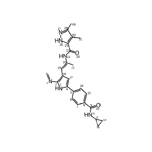 C=Nc1[nH]c(-c2ccc(C(=O)NC3CC3)cc2)cc1/C=C(\C)NC(=O)c1[nH]nc(C)c1C